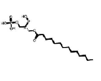 CCCCCCCCCCCCCC(=O)OC[C@H](COP(=O)(O)O)OO